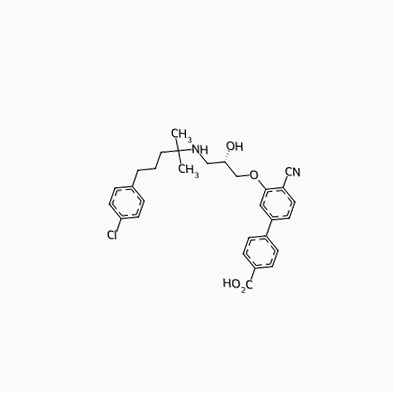 CC(C)(CCCc1ccc(Cl)cc1)NC[C@H](O)COc1cc(-c2ccc(C(=O)O)cc2)ccc1C#N